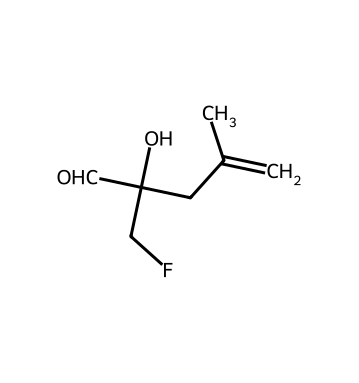 C=C(C)CC(O)(C=O)CF